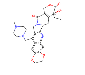 CC[C@@]1(O)C(=O)OCC2=C1CC1c3nc4cc5c(cc4c(CN4CCN(C)CC4)c3CN1C2=O)OCCO5